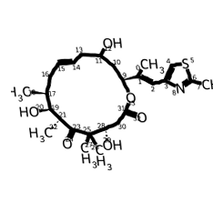 C/C(=C\c1csc(C)n1)[C@@H]1CC(O)C/C=C/C[C@H](C)[C@H](O)[C@@H](C)C(=O)C(C)(C)[C@@H](O)CC(=O)O1